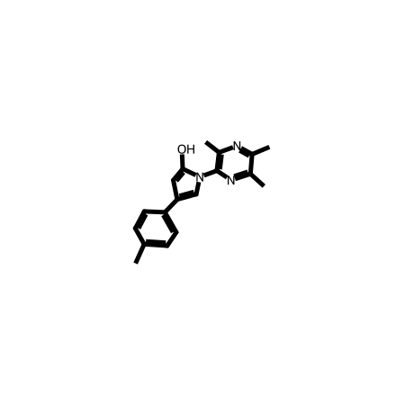 Cc1ccc(-c2cc(O)n(-c3nc(C)c(C)nc3C)c2)cc1